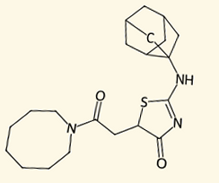 O=C1N=C(NC23CC4CC(CC2C4)C3)SC1CC(=O)N1CCCCCCC1